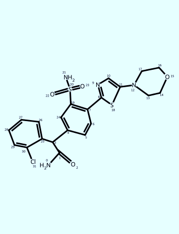 NC(=O)C(c1ccc(-c2ncc(N3CCOCC3)s2)c(S(N)(=O)=O)c1)c1ccccc1Cl